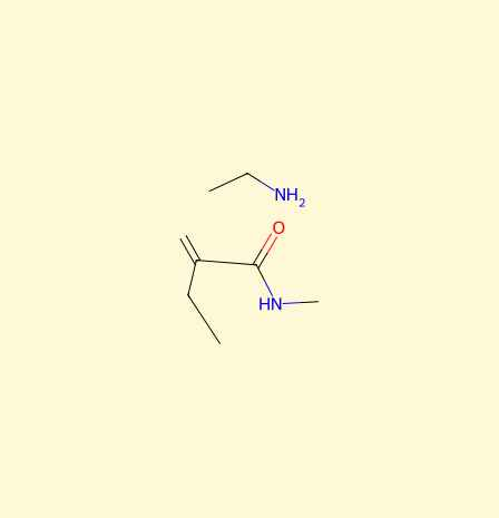 C=C(CC)C(=O)NC.CCN